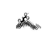 O=C([O-])C=CC(=O)[O-].[OH-].[OH-].[OH-].[OH-].[Pb+2].[Pb+2].[Pb+2].[Pb+2].[Pb+2].[Pb+2]